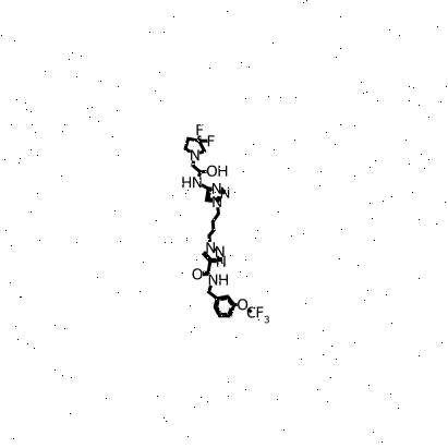 O=C(NCc1cccc(OC(F)(F)F)c1)c1cn(CCCCn2cc(NC(O)CN3CCC(F)(F)C3)nn2)nn1